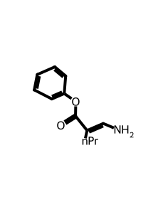 CCCC(=CN)C(=O)Oc1ccccc1